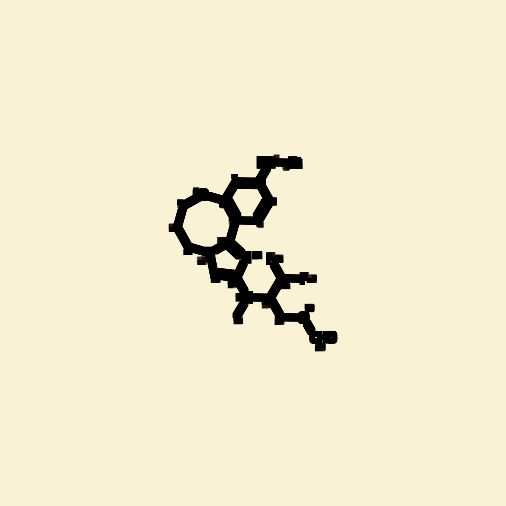 CCNc1ccc2c(c1)OCCCn1cc(N(C)C(COC=O)C(F)F)nc1-2